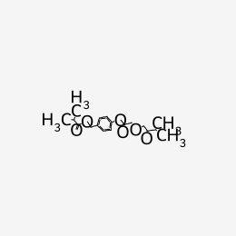 CC(C)C(=O)COCC(=O)Oc1ccc(COC(=O)C(C)C)cc1